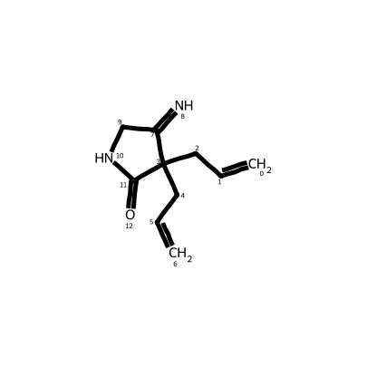 C=CCC1(CC=C)C(=N)CNC1=O